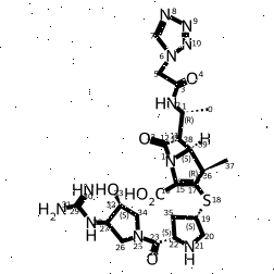 C[C@@H](NC(=O)Cn1cnnn1)[C@H]1C(=O)N2C(C(=O)O)=C(S[C@@H]3CN[C@H](C(=O)N4CC(NC(=N)N)[C@@H](O)C4)C3)[C@H](C)[C@H]12